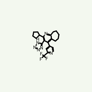 FC(F)(F)c1cc(-c2c3c(nc(C4CCCC4)c2-c2nnn[nH]2)CCCCC3)ccn1